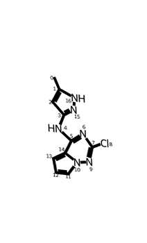 Cc1cc(Nc2nc(Cl)nn3cccc23)n[nH]1